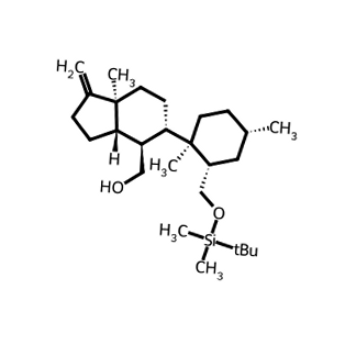 C=C1CC[C@H]2[C@H](CO)[C@@H]([C@@]3(C)CC[C@H](C)C[C@@H]3CO[Si](C)(C)C(C)(C)C)CC[C@]12C